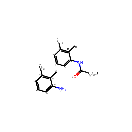 CCOC(=O)C(=O)Nc1cccc(C(F)(F)F)c1C.Cc1c(N)cccc1C(F)(F)F